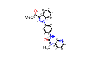 COC(=O)c1nn(-c2ccc(NC(=O)N(C)c3cccnc3)cc2)c2ccccc12